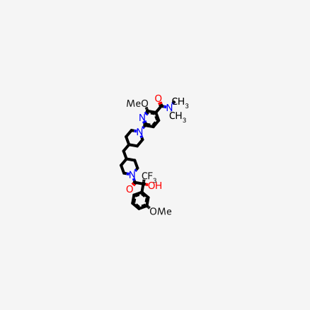 COc1cccc(C(O)(C(=O)N2CCC(CC3CCN(c4ccc(C(=O)N(C)C)c(OC)n4)CC3)CC2)C(F)(F)F)c1